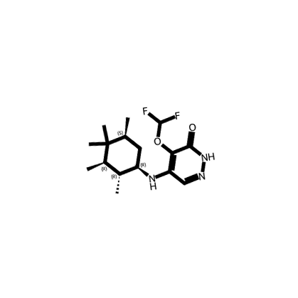 C[C@@H]1[C@@H](C)C(C)(C)[C@@H](C)C[C@H]1Nc1cn[nH]c(=O)c1OC(F)F